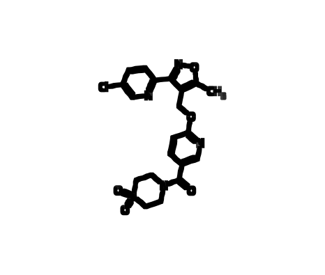 Cc1onc(-c2ccc(Cl)cn2)c1COc1ccc(C(=O)N2CCS(=O)(=O)CC2)cn1